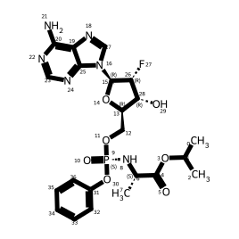 CC(C)OC(=O)[C@H](C)N[P@](=O)(OC[C@H]1O[C@@H](n2cnc3c(N)ncnc32)[C@H](F)[C@@H]1O)Oc1ccccc1